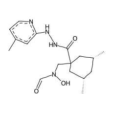 Cc1ccnc(NNC(=O)C2(CN(O)C=O)C[C@H](C)C[C@H](C)C2)c1